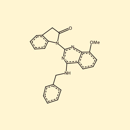 COc1cccc2c(NCc3ccccc3)nc(N3C(=O)Cc4ccccc43)nc12